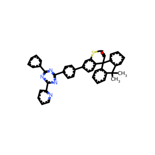 CC1(C)c2ccccc2C2(c3ccccc3Sc3cc(-c4ccc(-c5nc(-c6ccccc6)nc(-c6ccccn6)n5)cc4)ccc32)c2ccccc21